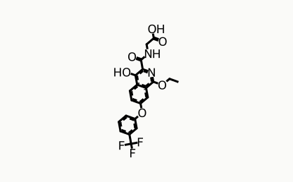 CCOc1nc(C(=O)NCC(=O)O)c(O)c2ccc(Oc3cccc(C(F)(F)F)c3)cc12